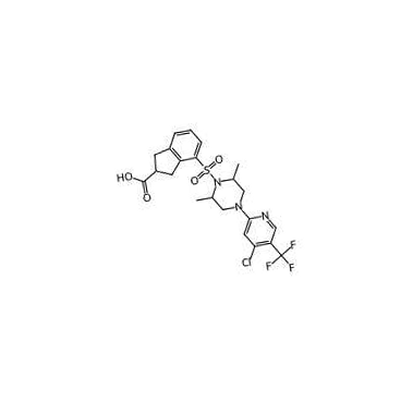 CC1CN(c2cc(Cl)c(C(F)(F)F)cn2)CC(C)N1S(=O)(=O)c1cccc2c1CC(C(=O)O)C2